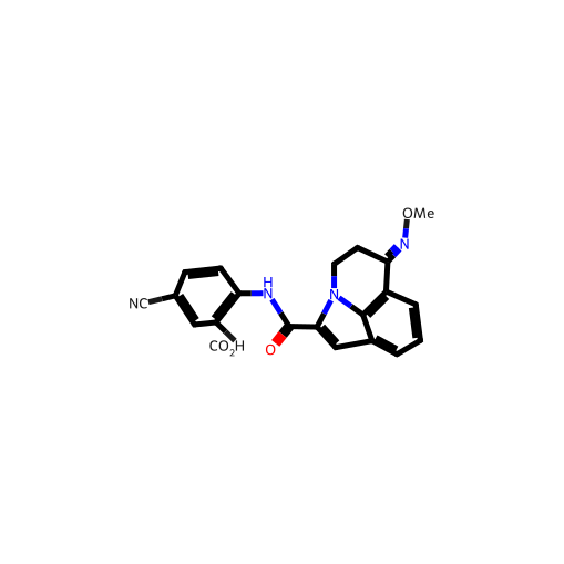 CO/N=C1\CCn2c(C(=O)Nc3ccc(C#N)cc3C(=O)O)cc3cccc1c32